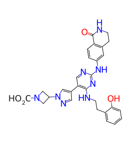 O=C1NCCc2cc(Nc3ncc(-c4cnn(C5CN(C(=O)O)C5)c4)c(NCCc4ccccc4O)n3)ccc21